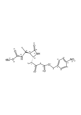 CC(C(=O)CC(=O)OCc1ccc([N+](=O)[O-])cc1)[C@H]1NC(=O)[C@@H]1C(C)NC(=O)OC(C)(C)C